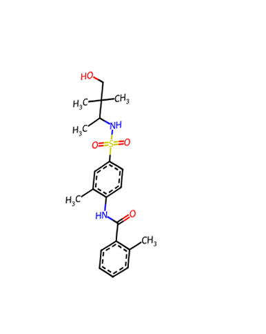 Cc1cc(S(=O)(=O)NC(C)C(C)(C)CO)ccc1NC(=O)c1ccccc1C